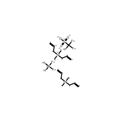 C=CC[N+](C)(C)CC=C.C=CC[N+](C)(C)CC=C.F[B-](F)(F)F.O=S(=O)([O-])C(F)(F)F